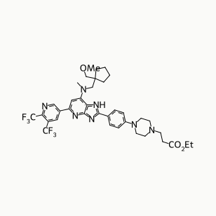 CCOC(=O)CCN1CCN(c2ccc(-c3nc4nc(-c5cnc(C(F)(F)F)c(C(F)(F)F)c5)cc(N(C)CC5(COC)CCCC5)c4[nH]3)cc2)CC1